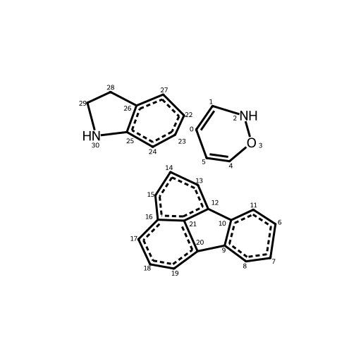 C1=CNOC=C1.c1ccc2c(c1)-c1cccc3cccc-2c13.c1ccc2c(c1)CCN2